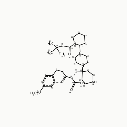 COc1ccc(CCC(=O)[C@H](OC2(N3CCN(C4CCCCN4C(=O)OC(C)(C)C)CC3)CCNCC2)C(=O)O)cc1